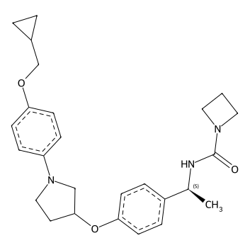 C[C@H](NC(=O)N1CCC1)c1ccc(OC2CCN(c3ccc(OCC4CC4)cc3)C2)cc1